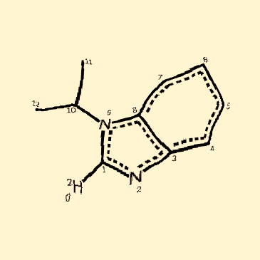 [2H]c1nc2ccccc2n1C(C)C